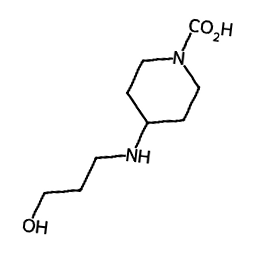 O=C(O)N1CCC(NCCCO)CC1